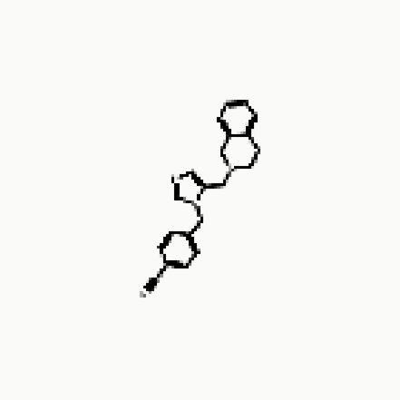 N#Cc1ccc(Cn2cncc2CN2CCc3ccccc3C2)cc1